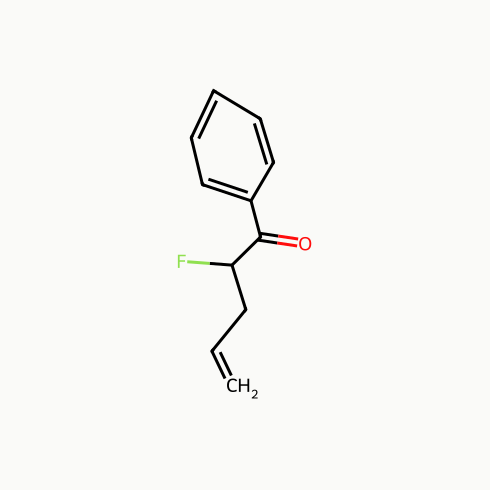 C=CCC(F)C(=O)c1ccccc1